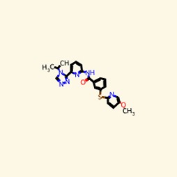 COc1ccc(Sc2cccc(C(=O)Nc3cccc(-c4nncn4C(C)C)n3)c2)nc1